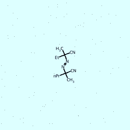 CCCC(C)(C#N)N=NC(C)(C#N)CC